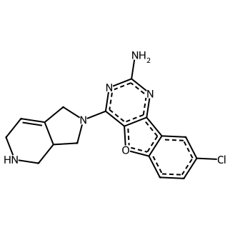 Nc1nc(N2CC3=CCNCC3C2)c2oc3ccc(Cl)cc3c2n1